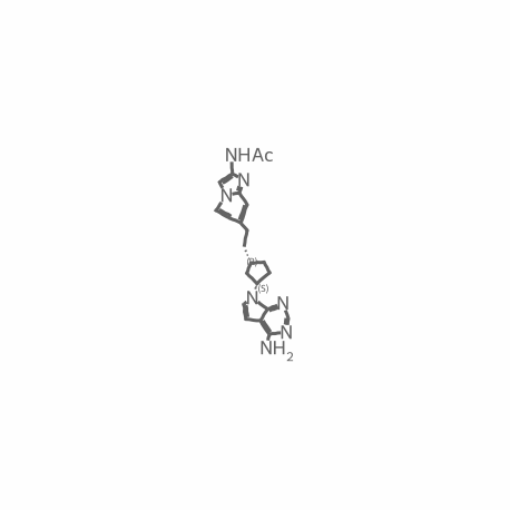 CC(=O)Nc1cn2ccc(CC[C@@H]3CC[C@H](n4ccc5c(N)ncnc54)C3)cc2n1